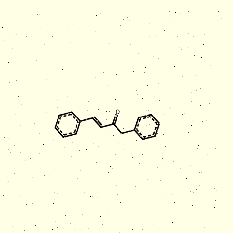 O=C(/C=C/c1ccccc1)Cc1ccccc1